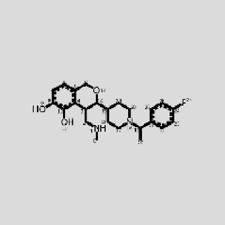 CNCC1c2c(ccc(O)c2O)COC1C1CCN(C(C)c2ccc(F)cc2)CC1